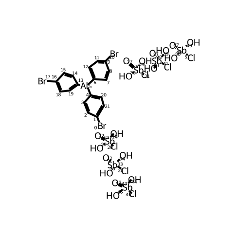 Brc1cc[c]([Al]([c]2ccc(Br)cc2)[c]2ccc(Br)cc2)cc1.[O]=[Sb]([OH])([OH])[Cl].[O]=[Sb]([OH])([OH])[Cl].[O]=[Sb]([OH])([OH])[Cl].[O]=[Sb]([OH])([OH])[Cl].[O]=[Sb]([OH])([OH])[Cl].[O]=[Sb]([OH])([OH])[Cl]